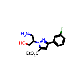 CCOC(=O)c1cc(-c2cccc(F)c2)nn1C(CN)CO